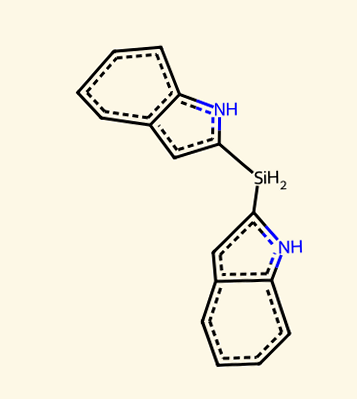 c1ccc2[nH]c([SiH2]c3cc4ccccc4[nH]3)cc2c1